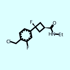 CCNC(=O)[C@H]1C[C@](F)(c2ccc(CCl)c(F)c2)C1